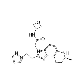 C[C@H]1CCc2c(ccc3c2nc(CCn2cccn2)n3CC(=O)NC2COC2)N1